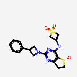 O=S1(=O)CC(Nc2nc(N3CC(c4ccccc4)C3)nc3c2[S@+]([O-])CC3)C1